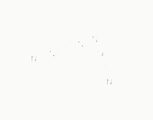 [N-3].[N-3].[Ni+2].[Ni+2].[Ni+2].[Si].[Si].[Si]